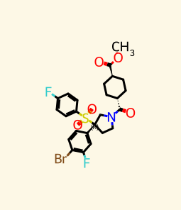 COC(=O)[C@H]1CC[C@H](C(=O)N2CC[C@](c3ccc(Br)c(F)c3)(S(=O)(=O)c3ccc(F)cc3)C2)CC1